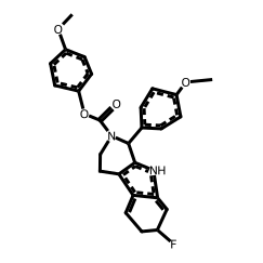 COc1ccc(OC(=O)N2CCc3c([nH]c4c3=CCC(F)C=4)C2c2ccc(OC)cc2)cc1